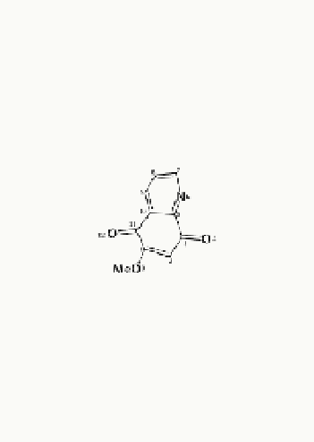 COC1=CC(=O)c2ncccc2C1=O